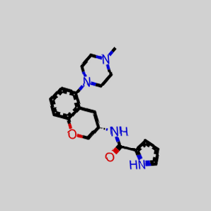 CN1CCN(c2cccc3c2C[C@H](NC(=O)c2ccc[nH]2)CO3)CC1